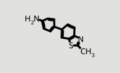 Cc1nc2ccc(-c3ccc(N)cc3)cc2s1